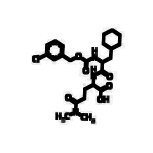 CN(C)C(=O)CCC(NC(=O)C(CC1CCCCC1)NC(=O)OCc1cccc(Cl)c1)C(=O)O